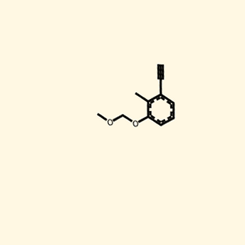 C#Cc1cccc(OCOC)c1C